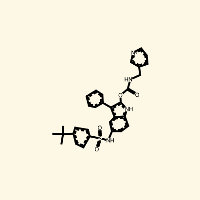 CC(C)(C)c1ccc(S(=O)(=O)Nc2ccc3[nH]c(OC(=O)NCc4cccnc4)c(-c4ccccc4)c3c2)cc1